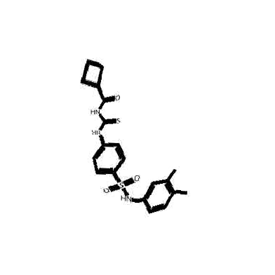 Cc1ccc(NS(=O)(=O)c2ccc(NC(=S)NC(=O)C3CCC3)cc2)cc1C